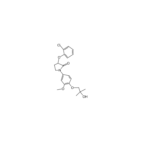 COc1cc(N2CCC(Oc3ccccc3Cl)C2=O)ccc1OCC(C)(C)O